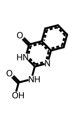 O=C(O)Nc1nc2ccccc2c(=O)[nH]1